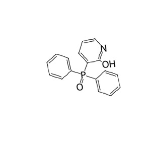 O=P(c1ccccc1)(c1ccccc1)c1cccnc1O